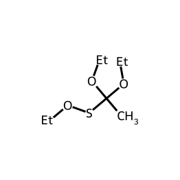 CCOSC(C)(OCC)OCC